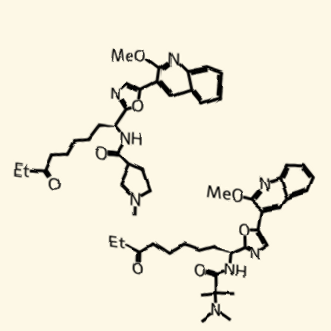 CCC(=O)CCCCC[C@H](NC(=O)C(C)(C)N(C)C)c1ncc(-c2cc3ccccc3nc2OC)o1.CCC(=O)CCCCC[C@H](NC(=O)C1CCN(C)C1)c1ncc(-c2cc3ccccc3nc2OC)o1